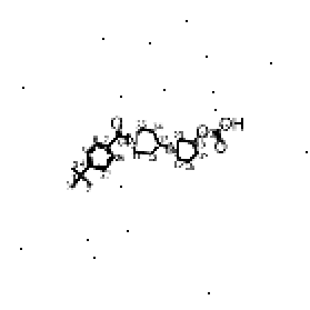 CC(C)(C)c1ccc(C(=O)N2CCC(N3CCCC(OC(=O)O)C3)CC2)cc1